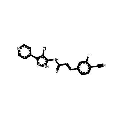 N#Cc1ccc(C=CC(=O)Nc2[nH]nc(-c3ccncc3)c2Cl)cc1F